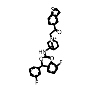 O=C(NC1C[N+]2(CC(=O)c3ccc4sccc4c3)CCC1CC2)OC(c1cccc(F)c1)c1cccc(F)c1